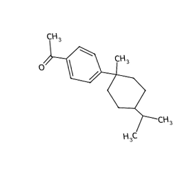 CC(=O)c1ccc(C2(C)CCC(C(C)C)CC2)cc1